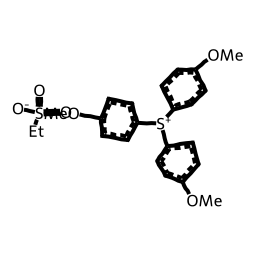 CCS(=O)(=O)[O-].COc1ccc([S+](c2ccc(OC)cc2)c2ccc(OC)cc2)cc1